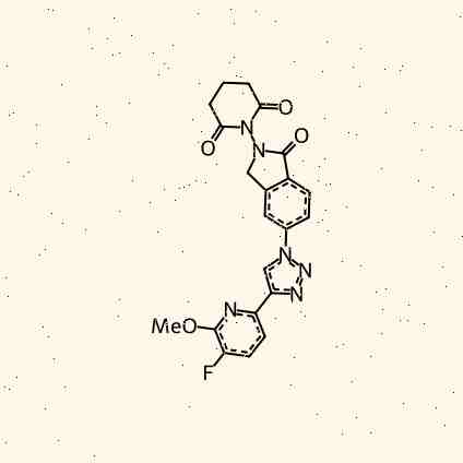 COc1nc(-c2cn(-c3ccc4c(c3)CN(N3C(=O)CCCC3=O)C4=O)nn2)ccc1F